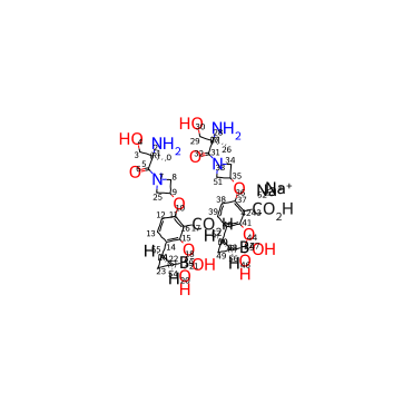 C[C@@](N)(CO)C(=O)N1CC(Oc2ccc3c(c2C(=O)O)O[B-](O)(O)[C@H]2C[C@@H]32)C1.C[C@@](N)(CO)C(=O)N1CC(Oc2ccc3c(c2C(=O)O)O[B-](O)(O)[C@H]2C[C@@H]32)C1.[Na+].[Na+]